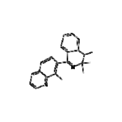 Cc1c(C2=NC(C)(C)C(C)c3ccccc32)ccc2cccnc12